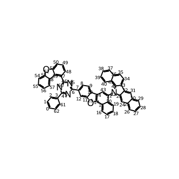 c1ccc(-c2nc(-c3ccc4c(c3)oc3c5ccccc5c(-n5c6cc7ccccc7cc6c6ccc7ccccc7c65)cc43)nc(-c3cccc4oc5ccccc5c34)n2)cc1